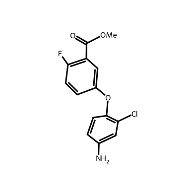 COC(=O)c1cc(Oc2ccc(N)cc2Cl)ccc1F